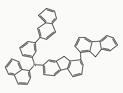 c1cc(-c2ccc3ccccc3c2)cc(N(c2ccc3c(c2)Cc2c-3cccc2-c2cccc3c2Cc2ccccc2-3)c2cccc3ccccc23)c1